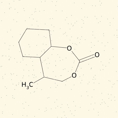 CC1COC(=O)OC2CCCCC12